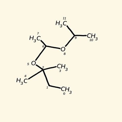 CCC(C)(C)OC(C)OC(C)C